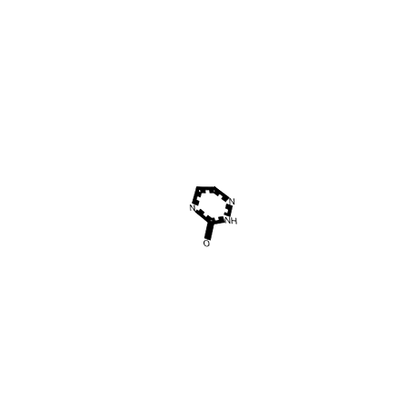 O=c1nc[c]n[nH]1